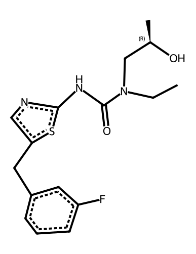 CCN(C[C@@H](C)O)C(=O)Nc1ncc(Cc2cccc(F)c2)s1